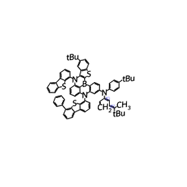 C=C/C(=C\C=C(/C)C(C)(C)C)N(c1ccc(C(C)(C)C)cc1)c1ccc2c(c1)N(c1cccc3c1sc1c(-c4ccccc4)cccc13)c1cccc3c1B2c1sc2ccc(C(C)(C)C)cc2c1N3c1cccc2c1sc1ccccc12